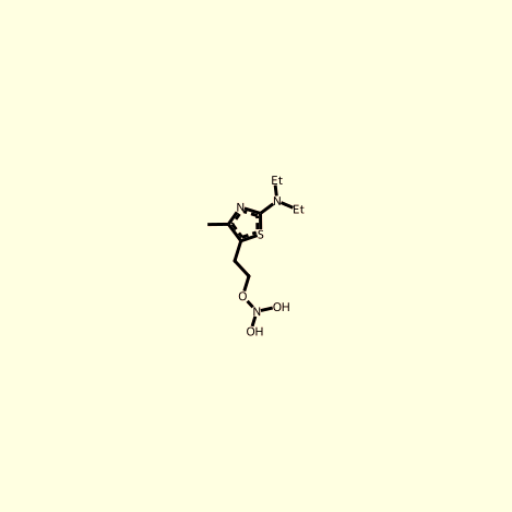 CCN(CC)c1nc(C)c(CCON(O)O)s1